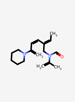 C=C(C)N(C=O)CC(/C=C\C(=C)N1CCCCC1)=C/C